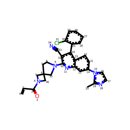 C=CC(=O)N1CC2(CCN(c3nc4cc(-n5ccnc5C)ccc4c(-c4ccccc4Cl)c3C#N)C2)C1